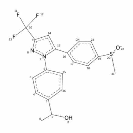 CC(O)c1ccc(-n2nc(C(F)(F)F)cc2-c2ccc([S+](C)[O-])cc2)cc1